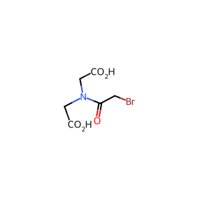 O=C(O)CN(CC(=O)O)C(=O)CBr